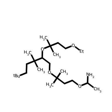 CCOCCC(C)(C)OC(COC(C)(C)CCOC(C)N)C(C)(C)CCC(C)(C)C